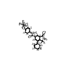 CN1C(=O)c2cc(C(=O)Nc3ccc(OC(F)(F)Cl)cc3)cc(-c3cccnc3)c2C1(C)C